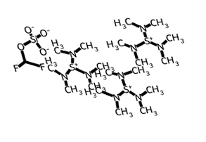 CN(C)[S+](N(C)C)N(C)C.CN(C)[S+](N(C)C)N(C)C.CN(C)[S+](N(C)C)N(C)C.[O-][Si]([O-])([O-])OC(F)F